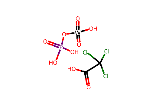 O=C(O)C(Cl)(Cl)Cl.O=P(O)(O)[O][W](=[O])(=[O])[OH]